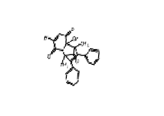 CC12C(=O)C(C)(C(c3ccccc3)=C1c1ccccc1)C1(Br)C(=O)C=C(Br)C(=O)C21